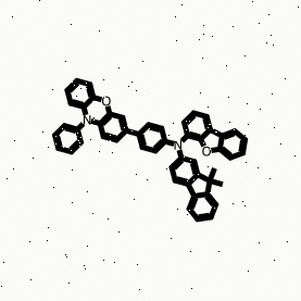 CC1(C)c2ccccc2-c2ccc(N(c3ccc(-c4ccc5c(c4)Oc4ccccc4N5c4ccccc4)cc3)c3cccc4c3oc3ccccc34)cc21